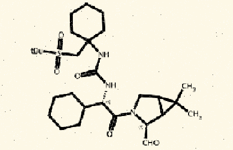 CC1(C)C2CN(C(=O)[C@@H](NC(=O)NC3(CS(=O)(=O)C(C)(C)C)CCCCC3)C3CCCCC3)[C@H](C=O)C21